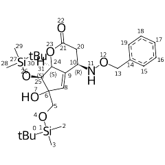 CC(C)(C)[Si](C)(C)OCC1(O)C=C2[C@H](NOCc3ccccc3)CC(=O)O[C@@H]2[C@@H]1O[Si](C)(C)C(C)(C)C